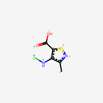 Cc1nsc(C(=O)O)c1NCl